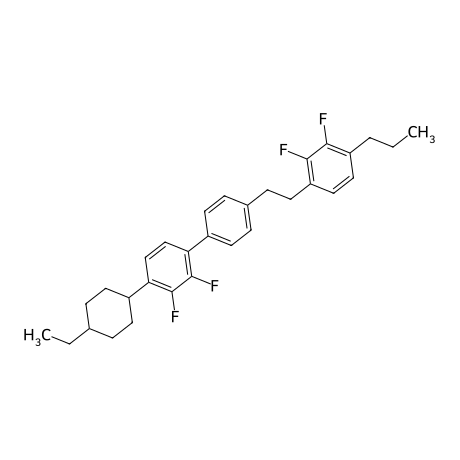 CCCc1ccc(CCc2ccc(-c3ccc(C4CCC(CC)CC4)c(F)c3F)cc2)c(F)c1F